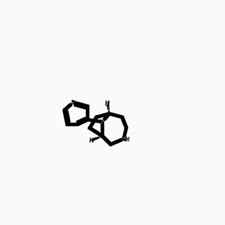 c1cncc(N2[C@@H]3CCNC[C@H]2CC3)c1